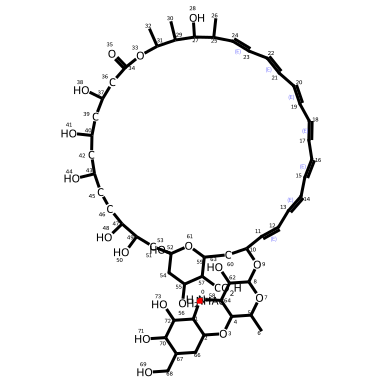 CC(=O)NC1C(OC2C(C)OC(OC3/C=C/C=C/C=C/C=C/C=C/C=C/C=C/C(C)C(O)C(C)C(C)OC(=O)CC(O)CC(O)CC(O)CCC(O)C(O)CC4(O)CC(O)C(C(=O)O)C(C3)O4)C(O)C2N)CC(CO)C(O)C1O